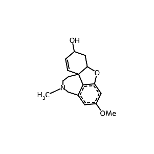 COc1cc2c3c(c1)OC1CC(O)C=CC31CCN(C)C2